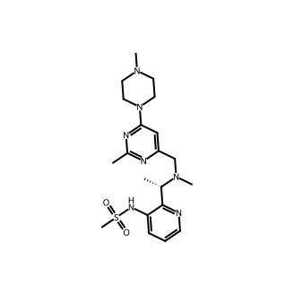 Cc1nc(CN(C)[C@@H](C)c2ncccc2NS(C)(=O)=O)cc(N2CCN(C)CC2)n1